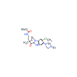 CCN1CCN(c2cc3[nH]c(C(=O)C(C)(C)CCNC(=O)OC)nc3cc2Cl)[C@H](C)C1